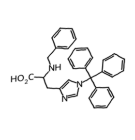 O=C(O)C(Cc1cn(C(c2ccccc2)(c2ccccc2)c2ccccc2)cn1)NCc1ccccc1